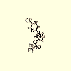 O=C(OC12CC(CN(c3cnc(Cl)cn3)C1)N2)C(F)(F)F